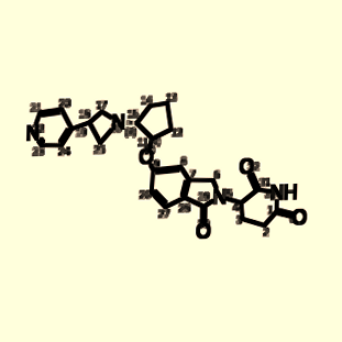 O=C1CCC(N2Cc3cc(O[C@@H]4CCC[C@H]4N4CC(c5ccncc5)C4)ccc3C2=O)C(=O)N1